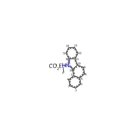 CCOC(C)=O.c1ccc2c(c1)ccc1c3ccccc3[nH]c21